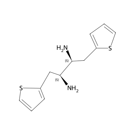 N[C@@H](Cc1cccs1)[C@@H](N)Cc1cccs1